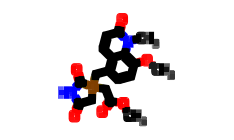 COC(=O)CS1(Cc2ccc(OC)c3c2ccc(=O)n3C)CC(=O)NC1=O